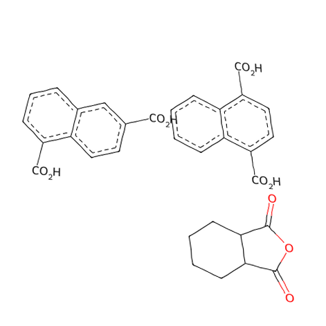 O=C(O)c1ccc(C(=O)O)c2ccccc12.O=C(O)c1ccc2c(C(=O)O)cccc2c1.O=C1OC(=O)C2CCCCC12